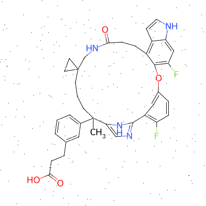 CC1(c2cccc(CCC(=O)O)c2)CCCC2(CC2)CNC(=O)CCc2c(c(F)cc3[nH]ccc23)Oc2ccc(F)c(c2)-c2ncc1[nH]2